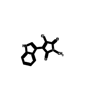 CN1C(=O)C(Cl)=C(c2c[nH]c3ccccc23)C1=O